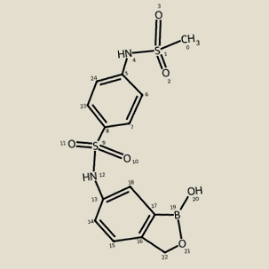 CS(=O)(=O)Nc1ccc(S(=O)(=O)Nc2ccc3c(c2)B(O)OC3)cc1